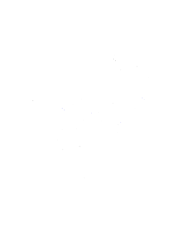 C#CCn1cc(C[C@H](NC(=O)OC(C)(C)C)C(=O)N2CC(C)(C)c3nc(O[Si](C)(C)C(C)(C)C)c(Cc4ccc(F)cc4)cc32)c2cc(C#N)ccc21